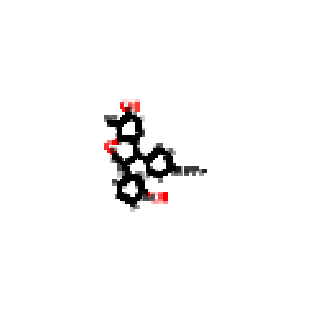 COc1ccc(C2c3ccc(O)c(C)c3OCC2c2cccc(O)c2)cc1